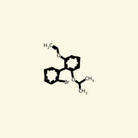 C=COc1cccc(OC(C)C)c1-c1ccccc1Br